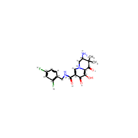 CC1(C)C(=O)c2c(O)c(=O)c(C(=O)NCc3ccc(F)cc3F)cn2CC1N